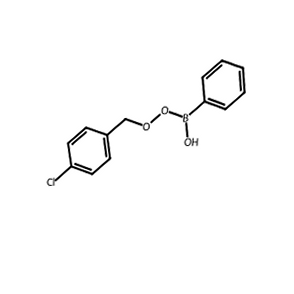 OB(OOCc1ccc(Cl)cc1)c1ccccc1